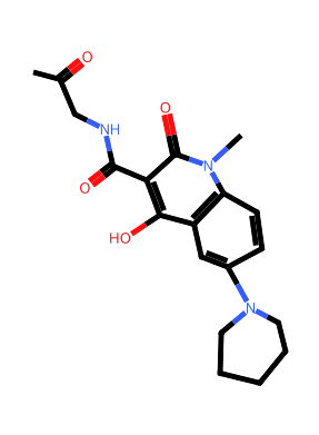 CC(=O)CNC(=O)c1c(O)c2cc(N3CCCCC3)ccc2n(C)c1=O